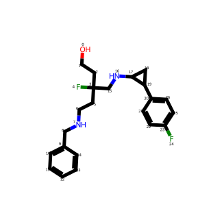 OCCC(F)(CCNCc1ccccc1)CNC1CC1c1ccc(F)cc1